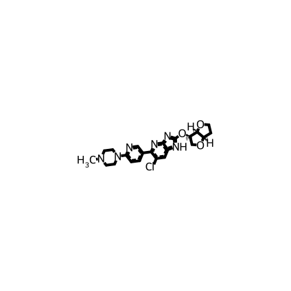 CN1CCN(c2ccc(-c3nc4nc(O[C@@H]5CO[C@@H]6CCO[C@@H]65)[nH]c4cc3Cl)cn2)CC1